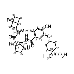 COc1cc(C#N)c(O[C@H]2CC[C@@](C)(C(=O)O)CC2)cc1C(=O)N[C@@H]1[C@H]2CC[C@H](C2)[C@@H]1C(=O)NC1CC2(F)CCC12